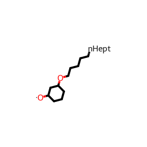 [CH2]CCCCCCCCCCCOC1CCCC([O])C1